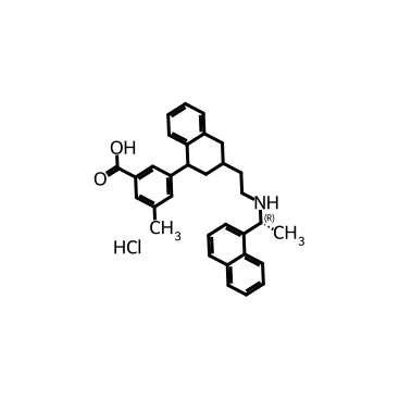 Cc1cc(C(=O)O)cc(C2CC(CCN[C@H](C)c3cccc4ccccc34)Cc3ccccc32)c1.Cl